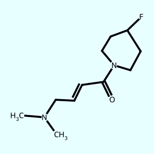 CN(C)C/C=C/C(=O)N1CCC(F)CC1